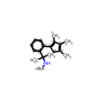 CCCCNC(C)(C)c1ccccc1C1=C(C)C(C)=C(C)C1